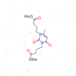 COC(=O)CCCn1c(C)cc(=O)n(CCCC(=O)OC)c1=O